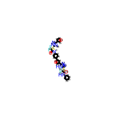 CN(C(=O)C(F)(F)Sc1nnc(-c2ccoc2)n1C)c1ccc(-c2cc(-c3nnc(SC(F)(F)C(=O)Nc4ccccc4)[nH]3)co2)cc1